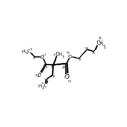 C=CCC(C)(C(=O)OCC)C(=O)OCCCC